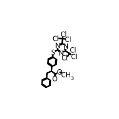 COC(=O)C(Cc1ccccc1)c1ccc(Sc2nc(C(Cl)(Cl)Cl)nc(C(Cl)(Cl)Cl)n2)cc1